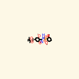 COc1cccc(OC)c1S(=O)(=O)Nc1noc2cc(B3OC(C)(C)C(C)(C)O3)cc(OC)c12